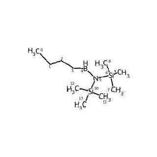 C[CH]CCBN([Si](C)(C)C)[Si](C)(C)C